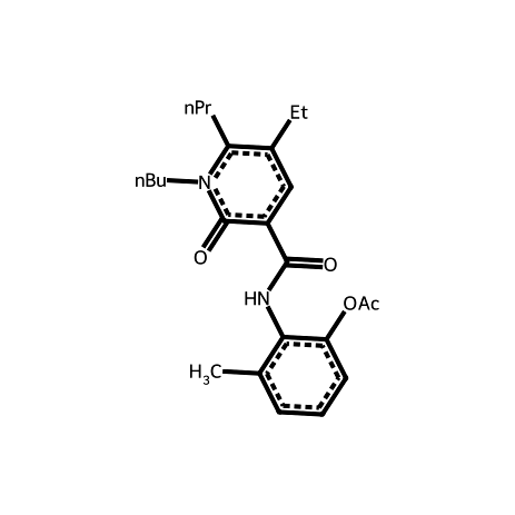 CCCCn1c(CCC)c(CC)cc(C(=O)Nc2c(C)cccc2OC(C)=O)c1=O